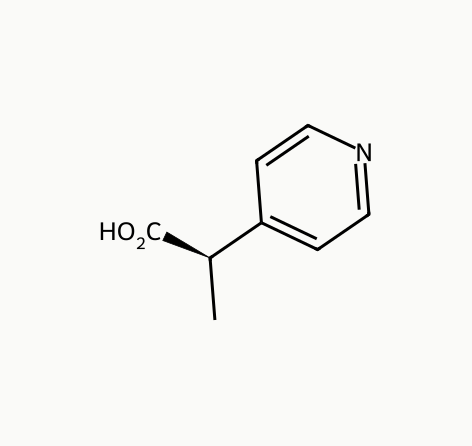 C[C@@H](C(=O)O)c1ccncc1